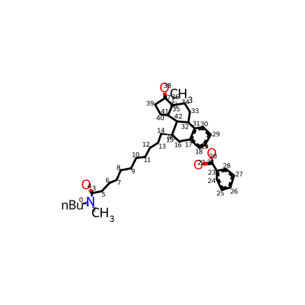 CCCCN(C)C(=O)CCCCCCCCCC[C@@H]1Cc2cc(OC(=O)c3ccccc3)ccc2C2CC[C@]3(C)C(=O)CCC3C21